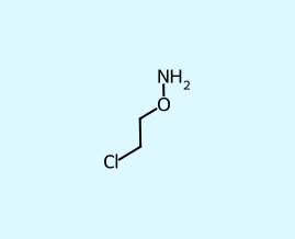 NOCCCl